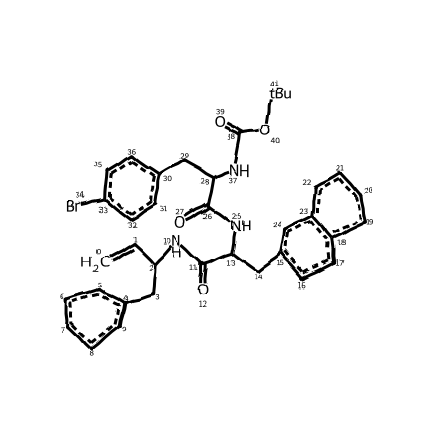 C=CC(Cc1ccccc1)NC(=O)C(Cc1ccc2ccccc2c1)NC(=O)C(Cc1ccc(Br)cc1)NC(=O)OC(C)(C)C